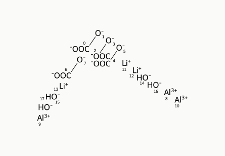 O=C([O-])[O-].O=C([O-])[O-].O=C([O-])[O-].O=C([O-])[O-].[Al+3].[Al+3].[Al+3].[Li+].[Li+].[Li+].[OH-].[OH-].[OH-].[OH-]